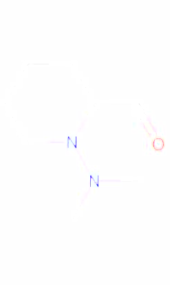 CN(C)N1CCCCC1C=O